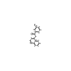 O=C(Cc1ccnc2ccccc12)c1cccc(F)c1